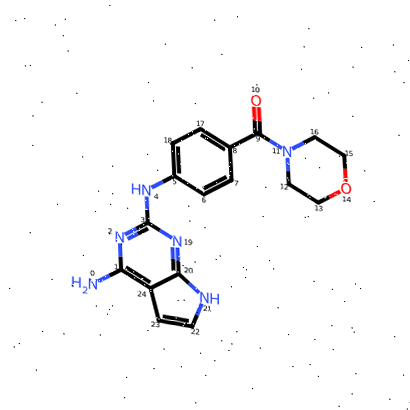 Nc1nc(Nc2ccc(C(=O)N3CCOCC3)cc2)nc2[nH]ccc12